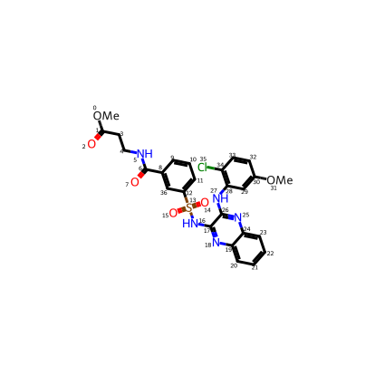 COC(=O)CCNC(=O)c1cccc(S(=O)(=O)Nc2nc3ccccc3nc2Nc2cc(OC)ccc2Cl)c1